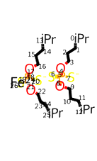 CC(C)CCCOP(=S)([S-])OCCCC(C)C.CC(C)CCCOP(=S)([S-])OCCCC(C)C.[Fe+2]